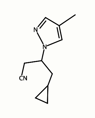 Cc1cnn(C(CC#N)CC2CC2)c1